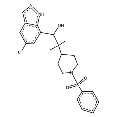 CC(C)(C1CCN(S(=O)(=O)c2ccccc2)CC1)C(O)c1cc(Cl)cc2cn[nH]c12